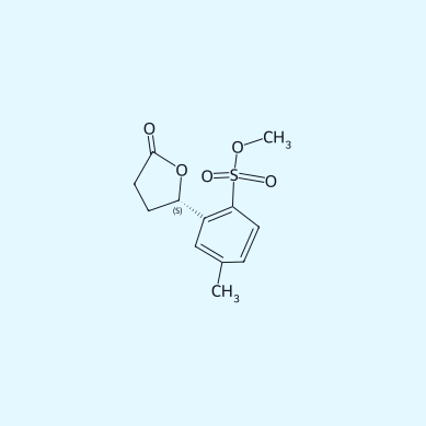 COS(=O)(=O)c1ccc(C)cc1[C@@H]1CCC(=O)O1